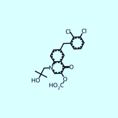 CC(C)(O)Cn1cc(OC(=O)O)c(=O)c2cc(Cc3cccc(Cl)c3Cl)ccc21